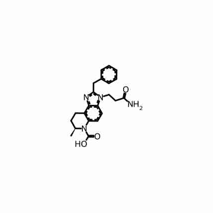 C[C@H]1CCc2c(ccc3c2nc(Cc2ccccc2)n3CCC(N)=O)N1C(=O)O